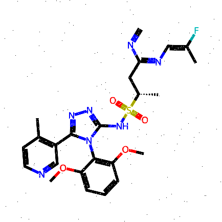 C=N/C(C[C@H](C)S(=O)(=O)Nc1nnc(-c2cnccc2C)n1-c1c(OC)cccc1OC)=N\C=C(/C)F